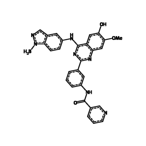 Bn1ncc2cc(Nc3nc(-c4cccc(NC(=O)c5cccnc5)c4)nc4cc(OC)c(O)cc34)ccc21